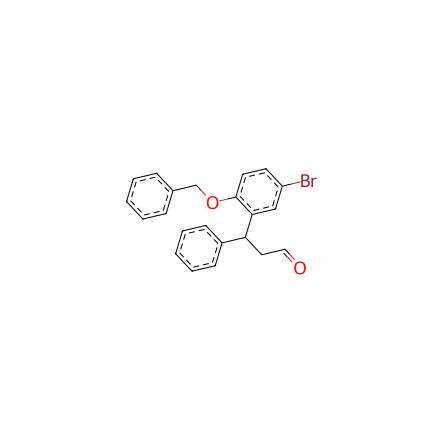 O=CCC(c1ccccc1)c1cc(Br)ccc1OCc1ccccc1